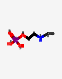 O=[C]NCCOP(=O)(O)O